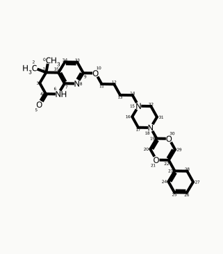 CC1(C)CC(=O)Nc2nc(OCCCCN3CCN(C4=COC(C5=CC=CCC5)=CO4)CC3)ccc21